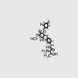 Cc1[nH]c(=O)c(Br)c(OCc2ccc(F)cc2F)c1Cc1ccc(CNC(=O)[C@@H](N)[C@@H](C)O)cc1.Cl